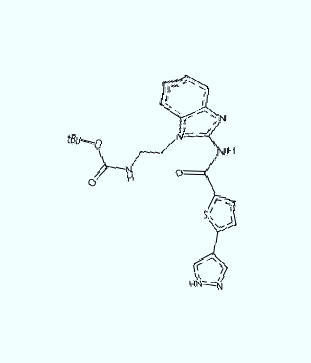 CC(C)(C)OC(=O)NCCn1c(NC(=O)c2ccc(-c3cn[nH]c3)s2)nc2ccccc21